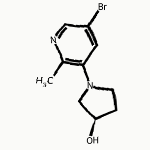 Cc1ncc(Br)cc1N1CC[C@@H](O)C1